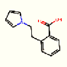 O=C(O)c1ccccc1CCn1cccc1